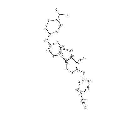 CC(C)N1CCC(Oc2ccc3c(c2)cc2n3CCN(Cc3ccc(C#N)cc3)C2=O)CC1